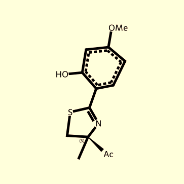 COc1ccc(C2=N[C@@](C)(C(C)=O)CS2)c(O)c1